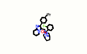 CC(C)c1ccc(-c2nc3ccccn3c2CN2CC3CCC(C2)N3C(=O)c2ccccc2F)cc1